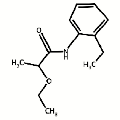 CCOC(C)C(=O)Nc1ccccc1CC